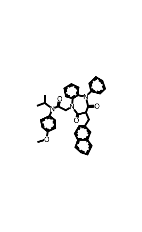 COc1ccc(N(C(=O)CN2C(=O)C(Cc3ccc4ccccc4c3)C(=O)N(c3ccccc3)c3ccccc32)C(C)C)cc1